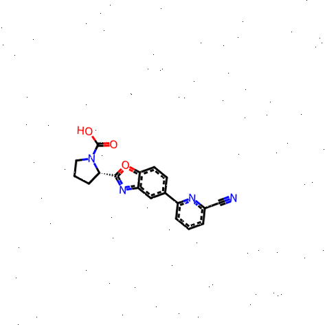 N#Cc1cccc(-c2ccc3oc([C@@H]4CCCN4C(=O)O)nc3c2)n1